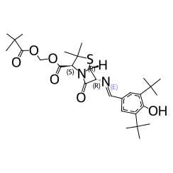 CC(C)(C)C(=O)OCOC(=O)[C@@H]1N2C(=O)[C@@H](/N=C/c3cc(C(C)(C)C)c(O)c(C(C)(C)C)c3)[C@H]2SC1(C)C